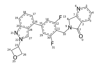 O=C1c2cccnc2CN1Cc1c(F)cc(-c2cccc3nn(C4COC4)cc23)cc1F